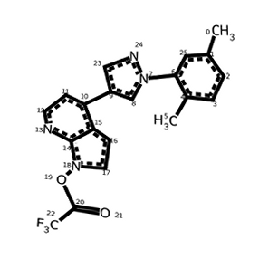 Cc1ccc(C)c(-n2cc(-c3ccnc4c3ccn4OC(=O)C(F)(F)F)cn2)c1